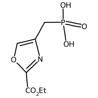 CCOC(=O)c1nc(CP(=O)(O)O)co1